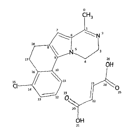 CC1=NCCn2c1cc1c2-c2cccc(Cl)c2CC1.O=C(O)C=CC(=O)O